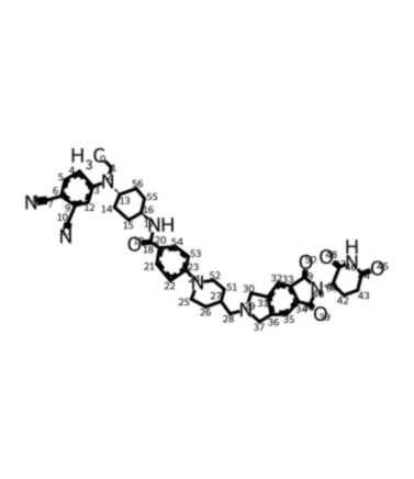 CCN(c1ccc(C#N)c(C#N)c1)[C@H]1CC[C@H](NC(=O)c2ccc(N3CCC(CN4Cc5cc6c(cc5C4)C(=O)N([C@H]4CCC(=O)NC4=O)C6=O)CC3)cc2)CC1